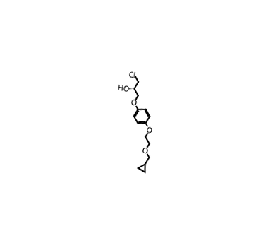 O[C@H](CCl)COc1ccc(OCCOCC2CC2)cc1